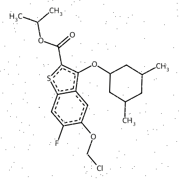 CC1CC(C)CC(Oc2c(C(=O)OC(C)C)sc3cc(F)c(OCCl)cc23)C1